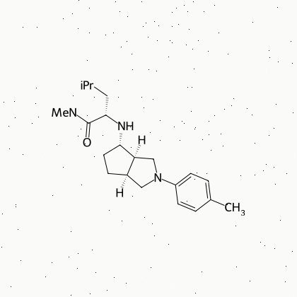 CNC(=O)[C@H](CC(C)C)N[C@H]1CC[C@@H]2CN(c3ccc(C)cc3)C[C@@H]21